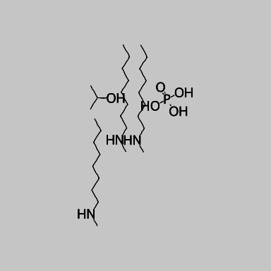 CC(C)O.CCCCCCCCNC.CCCCCCCCNC.CCCCCCCCNC.O=P(O)(O)O